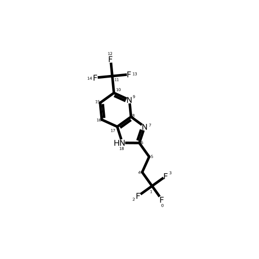 FC(F)(F)CCc1nc2nc(C(F)(F)F)ccc2[nH]1